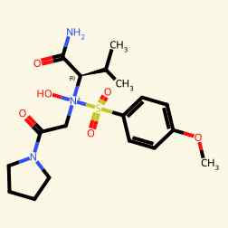 COc1ccc(S(=O)(=O)[N+](O)(CC(=O)N2CCCC2)[C@@H](C(N)=O)C(C)C)cc1